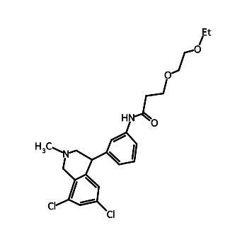 CCOCCOCCC(=O)Nc1cccc(C2CN(C)Cc3c(Cl)cc(Cl)cc32)c1